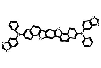 c1ccc(N(c2ccc3c(c2)OCO3)c2ccc3c(ccc4c5cc6oc7c8ccc(N(c9ccccc9)c9ccc%10c(c9)OCO%10)cc8ccc7c6cc5oc34)c2)cc1